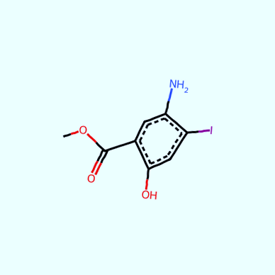 COC(=O)c1cc(N)c(I)cc1O